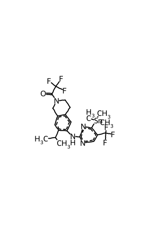 CC(C)c1cc2c(cc1Nc1ncc(C(F)(F)F)[c]([Sn]([CH3])([CH3])[CH3])n1)CCN(C(=O)C(F)(F)F)C2